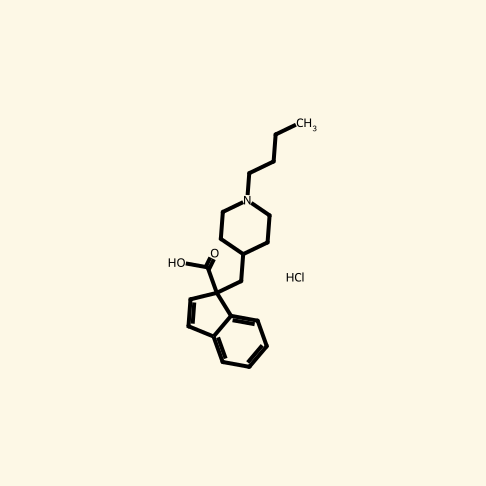 CCCCN1CCC(CC2(C(=O)O)C=Cc3ccccc32)CC1.Cl